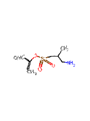 C=C(C=O)OS(=O)(=O)CC(C)CN